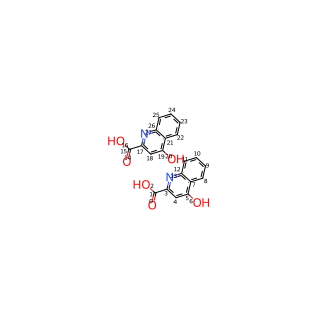 O=C(O)c1cc(O)c2ccccc2n1.O=C(O)c1cc(O)c2ccccc2n1